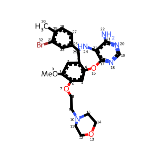 COc1cc2c(cc1OCCN1CCOCC1)Oc1ncnc(N)c1NC2c1ccc(C)c(Br)c1